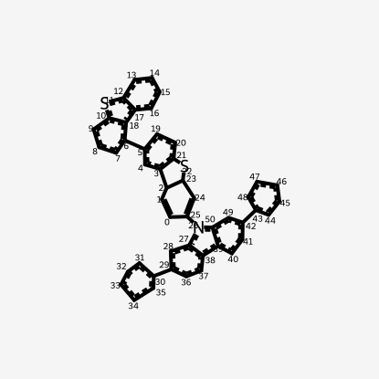 C1=CC2c3cc(-c4cccc5sc6ccccc6c45)ccc3SC2C=C1n1c2cc(-c3ccccc3)ccc2c2ccc(-c3ccccc3)cc21